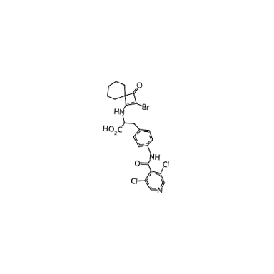 O=C(Nc1ccc(C[C@H](NC2=C(Br)C(=O)C23CCCCC3)C(=O)O)cc1)c1c(Cl)cncc1Cl